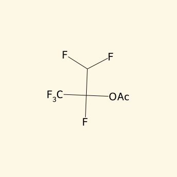 [CH2]C(=O)OC(F)(C(F)F)C(F)(F)F